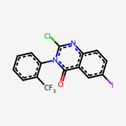 O=c1c2cc(I)ccc2nc(Cl)n1-c1ccccc1C(F)(F)F